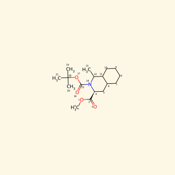 COC(=O)[C@@H]1CC2CCCCC2C(C)N1C(=O)OC(C)(C)C